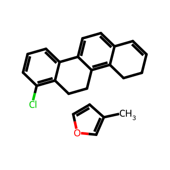 Cc1ccoc1.Clc1cccc2c1CCc1c-2ccc2c1CCC=C2